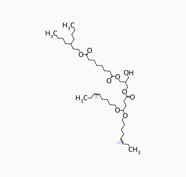 CC/C=C\CCCCOC(CCC(=O)OCC(CO)COC(=O)CCCCCCC(=O)OCCC(CCCC)CCCC)OCCCC/C=C\CC